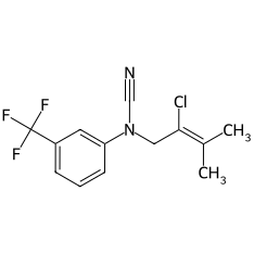 CC(C)=C(Cl)CN(C#N)c1cccc(C(F)(F)F)c1